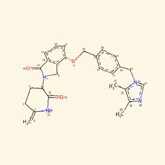 C=C1CCC(N2Cc3c(OCc4ccc(Cn5cnc(C)c5C)cc4)cccc3C2=O)C(=O)N1